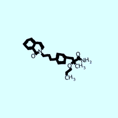 CCCOC(C)(Cc1ccc(CCCn2ccc3ccccc3c2=O)cc1)C(N)=O